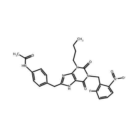 CCCCn1c(=O)n(Cc2c(F)cccc2[N+](=O)[O-])c(=O)c2[nH]c(Cc3ccc(NC(C)=O)cc3)nc21